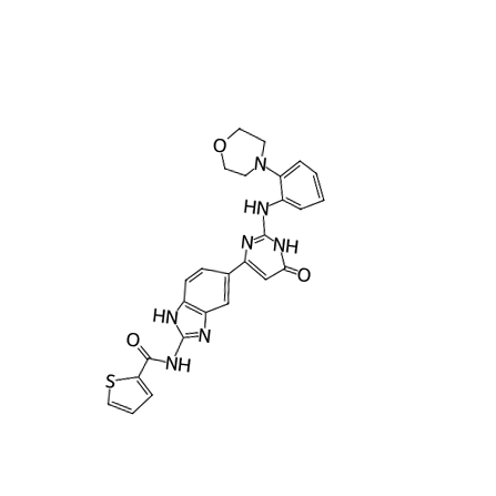 O=C(Nc1nc2cc(-c3cc(=O)[nH]c(Nc4ccccc4N4CCOCC4)n3)ccc2[nH]1)c1cccs1